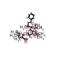 C=C(CC(=O)c1ccccc1)C[C@@H]1OC[C@H](C[C@@H]2O[C@H]2[C@H](C)[C@H](C)O[Si](C)(C)C)[C@@H](O[Si](C)(C)C)[C@@H]1O[Si](C)(C)C